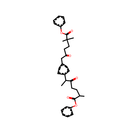 CC(CCC(=O)C(C)c1ccc(CC(=O)CCC(C)(C)C(=O)Oc2ccccc2)cc1)C(=O)Oc1ccccc1